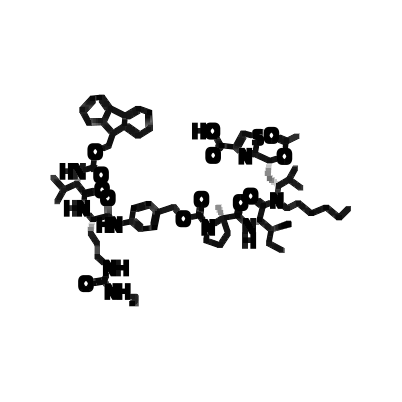 CCCCCCN(C(=O)[C@@H](NC(=O)[C@@]1(C)CCCN1C(=O)OCc1ccc(NC(=O)[C@H](CCCNC(N)=O)NC(=O)[C@@H](NC(=O)OCC2c3ccccc3-c3ccccc32)C(C)C)cc1)[C@@H](C)CC)[C@H](C[C@@H](OC(C)=O)c1nc(C(=O)O)cs1)C(C)C